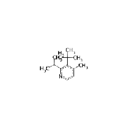 Cc1ccnc(C(C)C)c1C(C)(C)C